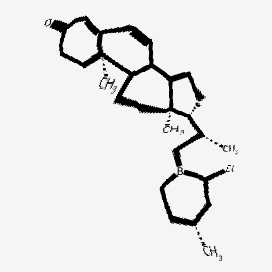 CCC1C[C@H](C)CCB1C[C@@H](C)[C@H]1CCC2C3C=CC4=CC(=O)CC[C@]4(C)C3CC[C@@]21C